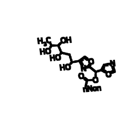 CCCCCCCCCC(=O)OC(c1cnco1)c1nc(C(O)CC(O)C(O)C(C)O)co1